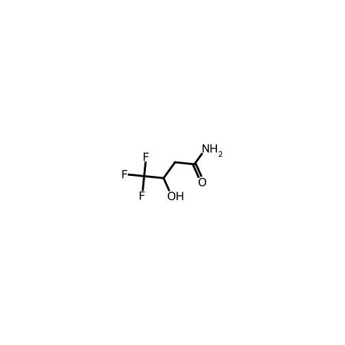 NC(=O)CC(O)C(F)(F)F